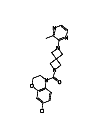 Cc1nccnc1N1CC2(CN(C(=O)N3CCOc4cc(Cl)ccc43)C2)C1